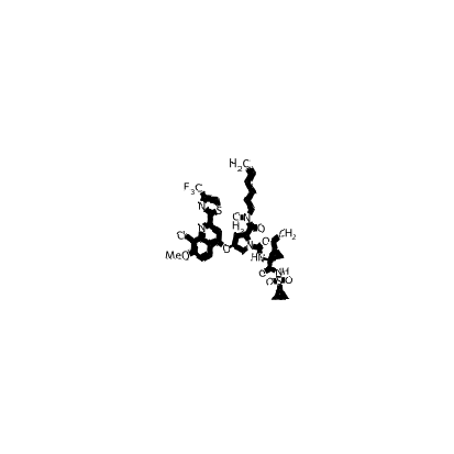 C=CCCCCN(C)C(=O)C1C[C@H](Oc2cc(-c3nc(C(F)(F)F)cs3)nc3c(Cl)c(OC)ccc23)CN1C(=O)N[C@]1(C(=O)NS(=O)(=O)C2CC2)CC1C=C